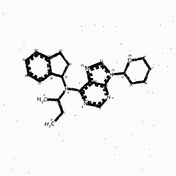 CCC(C)N(c1ncnc2c1ncn2C1CCCCO1)C1CCc2ccccc21